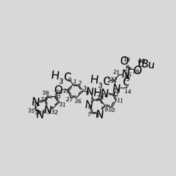 Cc1cc(Nc2ncnc3ccc(N4CCN(C(=O)OC(C)(C)C)C[C@H]4C)nc23)ccc1Oc1ccn2ncnc2c1